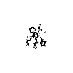 NC(=O)[C@@H]1CCC[N+]1(C(=O)NCCO)C(=O)[C@H](CC1CCCC1)CN(O)C=O